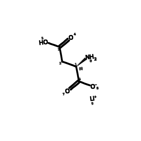 N[C@@H](CC(=O)O)C(=O)[O-].[Li+]